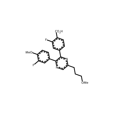 COCCCc1cnc(-c2ccc(OC)c(F)c2)c(-c2ccc(C(=O)O)c(F)c2)n1